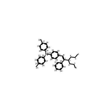 CCCC(CCC)C(=Cc1ccc(N(c2ccc(C)cc2)c2ccc(C)cc2)cc1)c1ccccc1